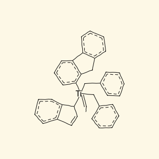 C[CH]=[Ti]([CH2]c1ccccc1)([CH2]c1ccccc1)([c]1cccc2c1Cc1ccccc1-2)[CH]1C=Cc2ccccc21